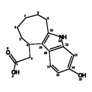 O=C(O)CC1CCCCCc2[nH]c3cc(O)ccc3c21